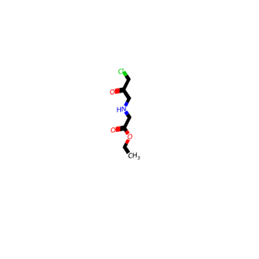 CCOC(=O)CNCC(=O)CCl